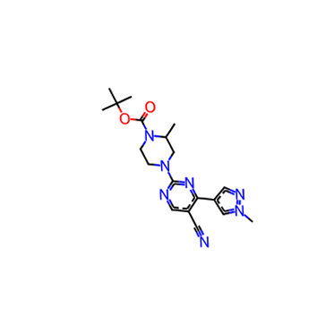 CC1CN(c2ncc(C#N)c(-c3cnn(C)c3)n2)CCN1C(=O)OC(C)(C)C